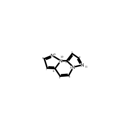 c1cc2n(ccc3ccnn32)n1